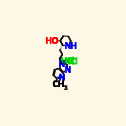 Cc1ccc2c(ncn2CCC[C@H]2NCCC[C@@H]2O)n1.Cl.Cl